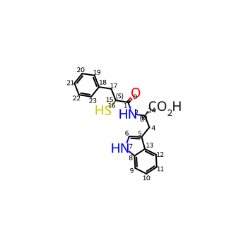 O=C(N[C@H](Cc1c[nH]c2ccccc12)C(=O)O)[C@@H](S)Cc1ccccc1